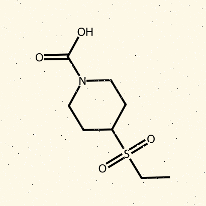 CCS(=O)(=O)C1CCN(C(=O)O)CC1